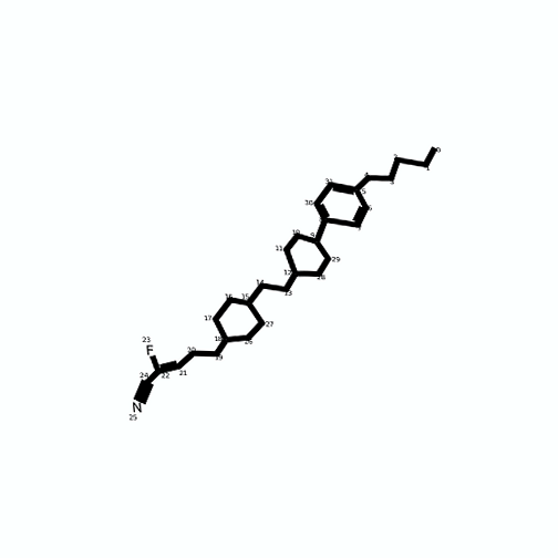 CCCCCc1ccc(C2CCC(CCC3CCC(CCC=C(F)C#N)CC3)CC2)cc1